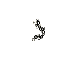 O=C1CC[C@H](N2Cc3c(ccc4c3OCC43CCN(Cc4cnn(S(=O)(=O)c5cccc(Cl)c5)c4)CC3)C2=O)C(=O)N1